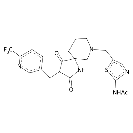 CC(=O)Nc1ncc(CN2CCCC3(C2)NC(=O)C(Cc2ccc(C(F)(F)F)nc2)C3=O)s1